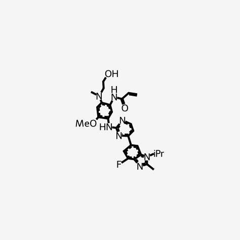 C=CC(=O)Nc1cc(Nc2nccc(-c3cc(F)c4nc(C)n(C(C)C)c4c3)n2)c(OC)cc1N(C)CCO